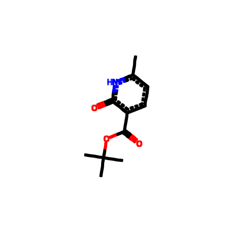 Cc1ccc(C(=O)OC(C)(C)C)c(=O)[nH]1